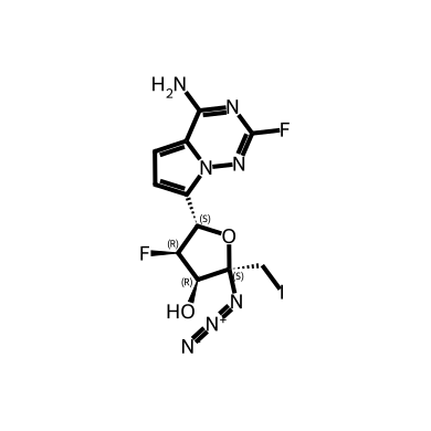 [N-]=[N+]=N[C@]1(CI)O[C@@H](c2ccc3c(N)nc(F)nn23)[C@H](F)[C@@H]1O